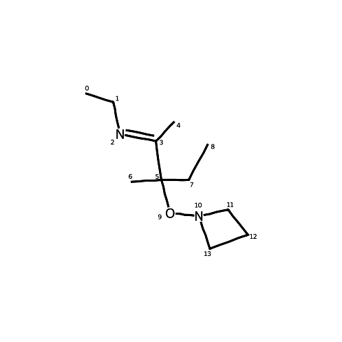 CCN=C(C)C(C)(CC)ON1CCC1